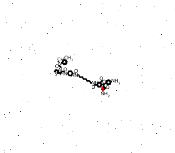 CCN(C(=O)Cn1c(C(=O)N[C@H]2CC[C@H](C(=O)NCCCCCCCCNC(=O)c3ccc4c(c3)C(=O)OC43c4ccc(N)cc4Oc4cc(N)ccc43)CC2)cc2sccc21)c1cccc(C)c1